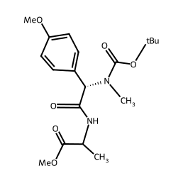 COC(=O)C(C)NC(=O)[C@H](c1ccc(OC)cc1)N(C)C(=O)OC(C)(C)C